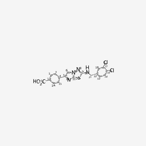 O=C(O)c1ccc(-c2cn3nc(NCc4ccc(Cl)c(Cl)c4)sc3n2)cc1